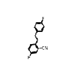 N#Cc1cc(F)ccc1CCc1ccc(F)cc1